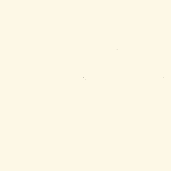 CCC(Oc1cccc(Cn2c(C)c(C(=O)c3ccc(Cl)cc3Cl)c3ccc(OC(F)(F)F)cc32)c1)C(=O)O